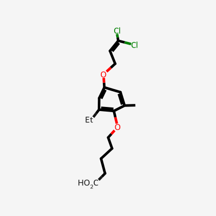 CCc1cc(OCC=C(Cl)Cl)cc(C)c1OCCCCC(=O)O